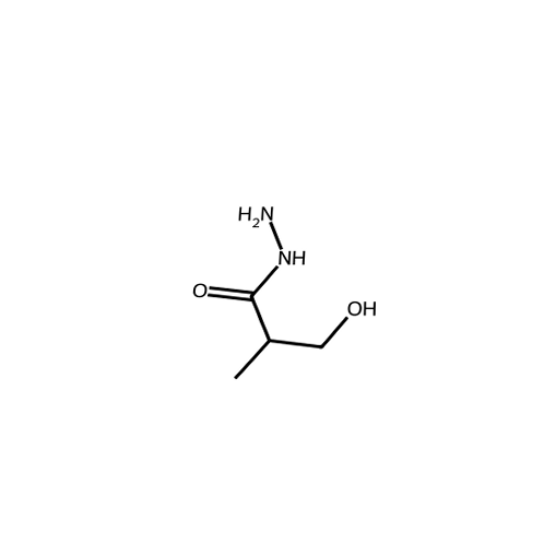 CC(CO)C(=O)NN